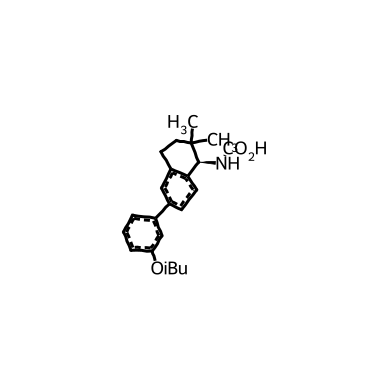 CC(C)COc1cccc(-c2ccc3c(c2)CCC(C)(C)[C@H]3NC(=O)O)c1